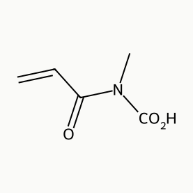 C=CC(=O)N(C)C(=O)O